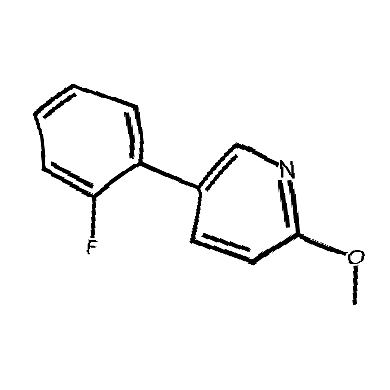 COc1ccc(-c2ccccc2F)cn1